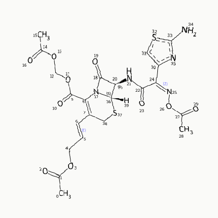 CC(=O)OC/C=C/C1=C(C(=O)OCOC(C)=O)N2C(=O)[C@@H](NC(=O)/C(=N\OC(C)=O)c3csc(N)n3)[C@@H]2SC1